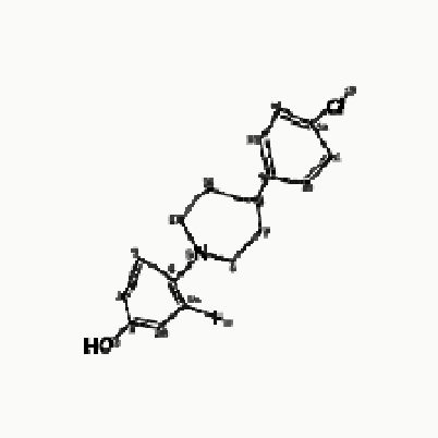 Oc1ccc(N2CCC(c3ccc(Cl)cc3)CC2)c(F)c1